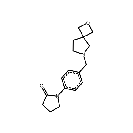 O=C1CCCN1c1ccc(CN2CCC3(COC3)C2)cc1